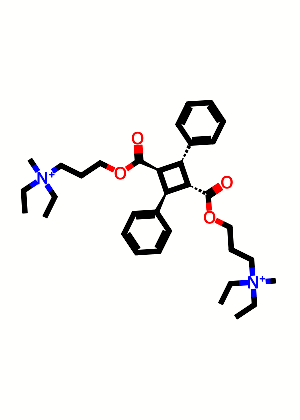 CC[N+](C)(CC)CCCOC(=O)[C@H]1[C@H](c2ccccc2)[C@H](C(=O)OCCC[N+](C)(CC)CC)[C@H]1c1ccccc1